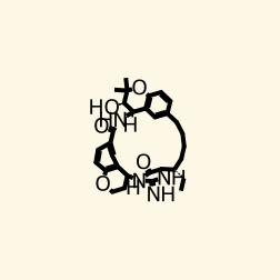 CC[C@]12CCCCc3ccc4c(c3)[C@@H](NC(=O)c3ccc5c(c3)[C@@H](CCO5)N(C(=N)N1)C(=O)C2)[C@H](O)C(C)(C)O4